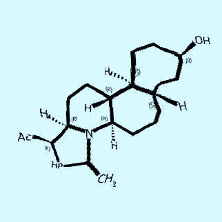 CC(=O)[C@@H]1PC(C)N2[C@@H]3CC[C@H]4C[C@H](O)CC[C@@H]4[C@H]3CC[C@H]12